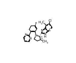 Cc1c(Cl)ccc2[nH]c([C@@H]3[C@@H](C)CCN3C3=C(c4ncccn4)[CH]CC(F)=C3)nc12